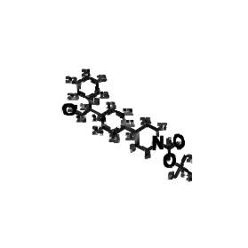 CC(C)(C)OC(=O)N1CC=C(c2ccc(C(C=O)c3ccccc3)cc2)CC1